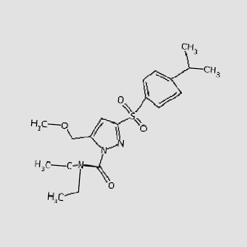 CCN(CC)C(=O)n1nc(S(=O)(=O)c2ccc(C(C)C)cc2)cc1COC